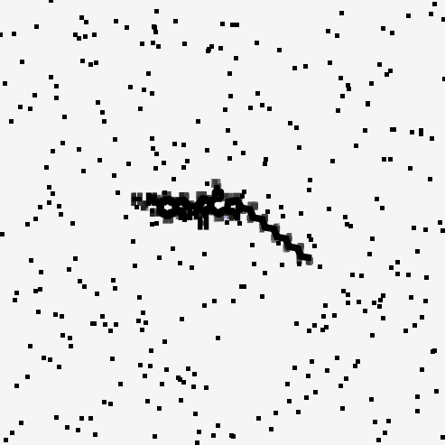 CCCCCCCCCCCC1=N/C(=C/c2[nH]c(-c3cc4cc(N)ccc4[nH]3)cc2OC)C=C1